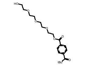 CC(C)(C)C(=O)c1ccc(C(=O)OCCOCCOCCOCCO)cc1